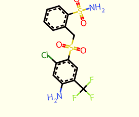 Nc1cc(Cl)c(S(=O)(=O)Cc2ccccc2S(N)(=O)=O)cc1C(F)(F)F